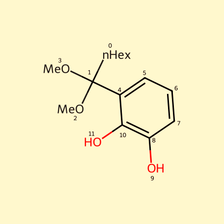 CCCCCCC(OC)(OC)c1cccc(O)c1O